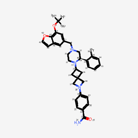 [2H]C([2H])([2H])Oc1cc(CN2CCN(C3CC4(C3)CN(c3ccc(C(N)=O)cc3)C4)[C@H](c3ccccc3C(C)C)C2)cc2ccoc12